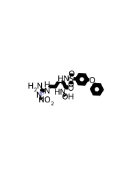 N/C(=N/[N+](=O)[O-])NCCC[C@@H](NS(=O)(=O)c1ccc(Oc2ccccc2)cc1)C(=O)NO